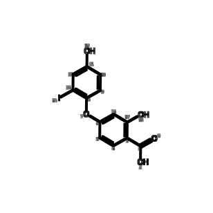 O=C(O)c1ccc(Oc2ccc(O)cc2I)cc1O